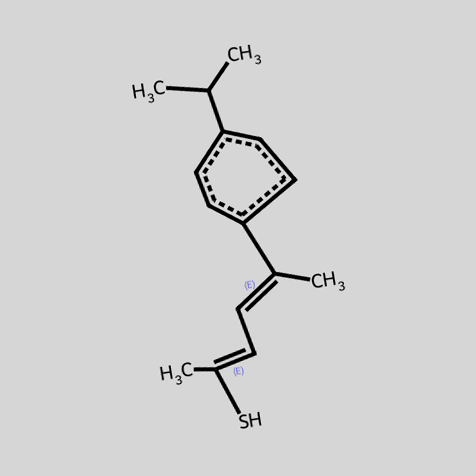 C/C(S)=C\C=C(/C)c1ccc(C(C)C)cc1